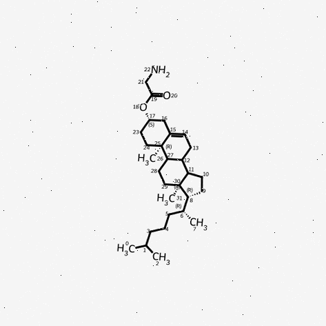 CC(C)CCC[C@@H](C)[C@H]1CCC2C3CC=C4C[C@@H](OC(=O)CN)CC[C@]4(C)C3CC[C@@]21C